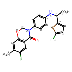 CNc1cc2c(cc1F)C(=O)N(c1ccc(N[C@@H](C(=O)O)c3ccc(Cl)s3)cc1)CO2